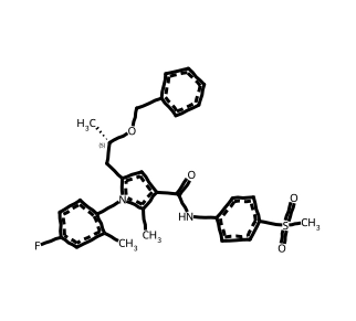 Cc1cc(F)ccc1-n1c(C[C@H](C)OCc2ccccc2)cc(C(=O)Nc2ccc(S(C)(=O)=O)cc2)c1C